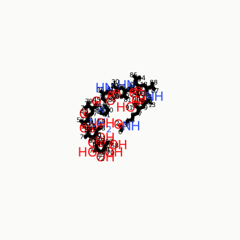 CC(=O)NCCCCC(CC(=O)[C@H](C)NC(=O)C(CC(=O)[C@@H](NC(=O)C(CC(=O)[C@H](C)NC(=O)C(C)CC(=O)[C@@H]1CCCN1C(=O)C(CC(=O)[C@@H](N)C(C)O[C@H]1OC(CO)[C@H](O)[C@H](O[C@@H]2OC(CO)[C@H](O)[C@H](O)C2O)C1C)C(C)C)C(C)C)C(C)C)C(C)C)C(=O)O